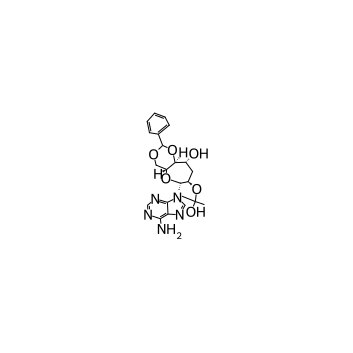 CC(C)(O)O[C@@H]1C[C@@H](O)[C@@H]2OC(c3ccccc3)OC[C@H]2O[C@H]1n1cnc2c(N)ncnc21